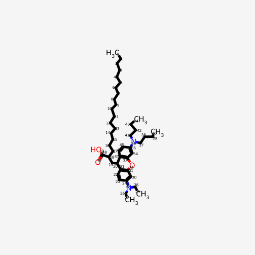 CCCCCCCCCCCCCCCCCCC(CC1c2ccc(N(CC)CC)cc2Oc2cc(N(CCCC)CCCC)ccc21)C(=O)O